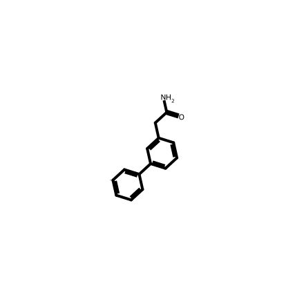 NC(=O)Cc1cccc(-c2c[c]ccc2)c1